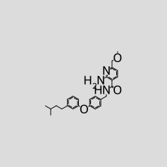 COCc1ccc(C(=O)NCc2ccc(Oc3cccc(CCC(C)C)c3)cc2)c(N)n1